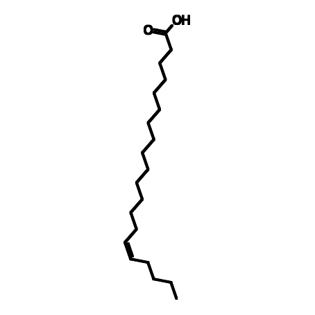 CCCC/C=C\CCCCCCCCCCCCCC(=O)O